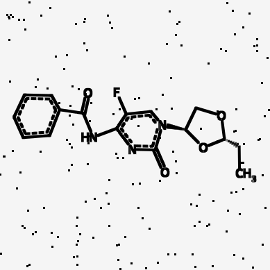 CC[C@H]1OC[C@H](n2cc(F)c(NC(=O)c3ccccc3)nc2=O)O1